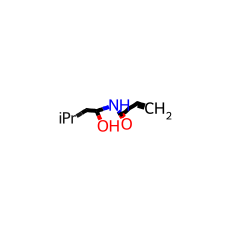 C=CC(=O)NC(O)CC(C)C